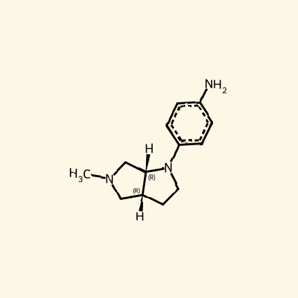 CN1C[C@H]2CCN(c3ccc(N)cc3)[C@H]2C1